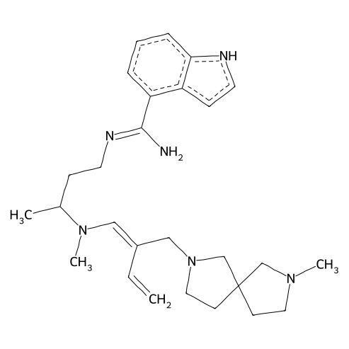 C=C/C(=C\N(C)C(C)CC/N=C(\N)c1cccc2[nH]ccc12)CN1CCC2(CCN(C)C2)C1